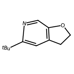 CC(C)(C)c1cc2c(cn1)OCC2